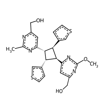 COc1nc(CO)cc([C@H]2[C@H](c3ccsc3)[C@H](c3cc(CO)nc(C)n3)[C@H]2c2ccsc2)n1